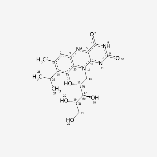 Cc1cc2nc3c(=O)[nH]c(=O)nc-3n(C[C@@H](O)[C@@H](O)[C@@H](O)CO)c2cc1C(C)C